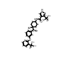 O=C(NC1CCC(Br)([C@@H](Br)c2cccc(Oc3ncccc3C(F)(F)F)c2)CC1)c1c[nH]nc1C(F)(F)F